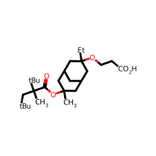 CCC1(OCCC(=O)O)CC2CC(CC(C)(OC(=O)C(C)(CC(C)(C)C)C(C)(C)C)C2)C1